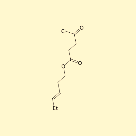 CC/C=C/CCOC(=O)CCC(=O)Cl